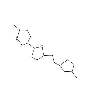 CC1CCC(CCC2CCC(C3CCC(C)OC3)O2)C1